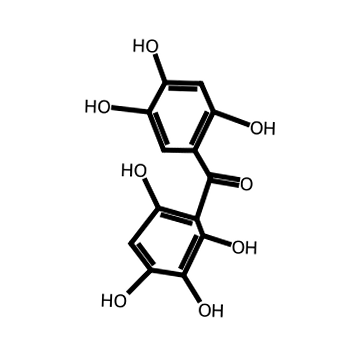 O=C(c1cc(O)c(O)cc1O)c1c(O)cc(O)c(O)c1O